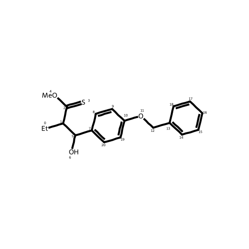 CCC(C(=S)OC)C(O)c1ccc(OCc2ccccc2)cc1